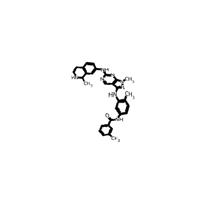 Cc1ccc(NC(=O)c2cccc(C(F)(F)F)c2)cc1Nc1nn(C)c2nc(Nc3ccc4c(c3)C(C)NCC4)ncc12